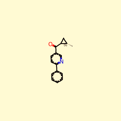 C[C@H]1CC1C(=O)c1ccc(-c2ccccc2)nc1